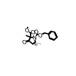 COC(=O)C1(C)C(=O)C[C@@H](C)N1C(=O)OCc1ccccc1